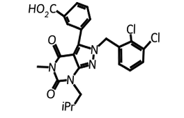 CC(C)Cn1c(=O)n(C)c(=O)c2c(-c3cccc(C(=O)O)c3)n(Cc3cccc(Cl)c3Cl)nc21